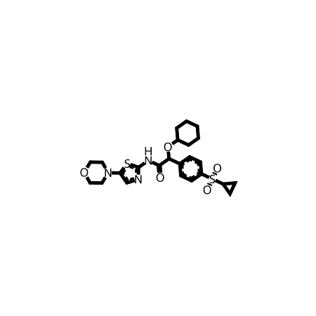 O=C(Nc1ncc(N2CCOCC2)s1)C(OC1CCCCC1)c1ccc(S(=O)(=O)C2CC2)cc1